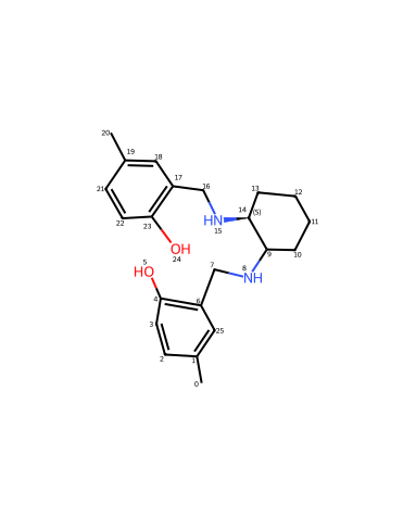 Cc1ccc(O)c(CNC2CCCC[C@@H]2NCc2cc(C)ccc2O)c1